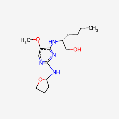 CCCC[C@H](CO)Nc1nc(NC2CCCO2)ncc1OC